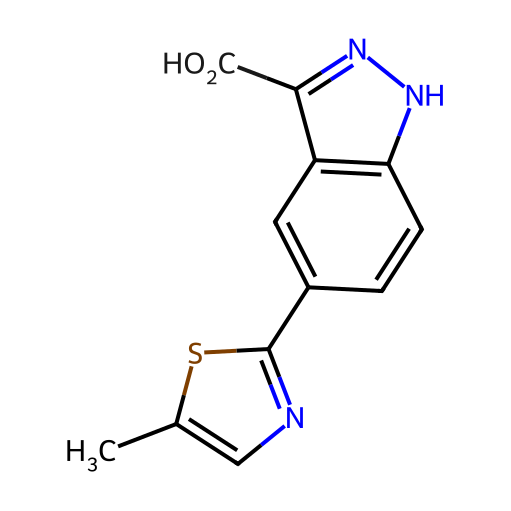 Cc1cnc(-c2ccc3[nH]nc(C(=O)O)c3c2)s1